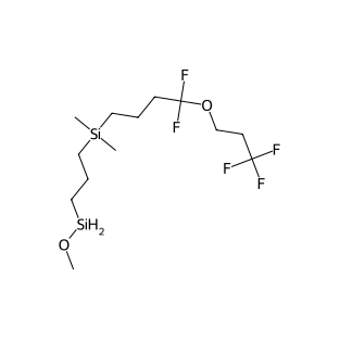 CO[SiH2]CCC[Si](C)(C)CCCC(F)(F)OCCC(F)(F)F